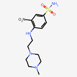 CN1CCN(CCNc2ccc(S(N)(=O)=O)cc2[N+](=O)[O-])CC1